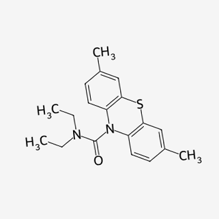 CCN(CC)C(=O)N1c2ccc(C)cc2Sc2cc(C)ccc21